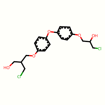 OCC(CCl)COc1ccc(Oc2ccc(OCC(O)CCl)cc2)cc1